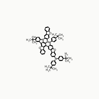 CC(C)(C)c1ccc(N2B3c4cc5oc6ccccc6c5cc4-n4c5ccc(C(C)(C)C)cc5c5c6oc7ccccc7c6c(c3c54)-c3cc4c(cc32)oc2cc(N(c3ccc(C(C)(C)C)cc3)c3ccc(C(C)(C)C)cc3)ccc24)cc1